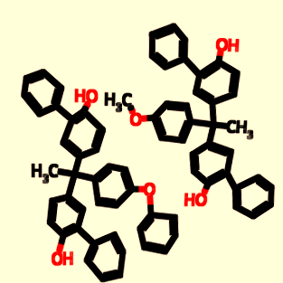 CC(c1ccc(Oc2ccccc2)cc1)(c1ccc(O)c(-c2ccccc2)c1)c1ccc(O)c(-c2ccccc2)c1.COc1ccc(C(C)(c2ccc(O)c(-c3ccccc3)c2)c2ccc(O)c(-c3ccccc3)c2)cc1